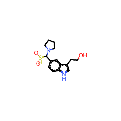 O=[SH](=O)C(c1ccc2[nH]cc(CCO)c2c1)N1CCCC1